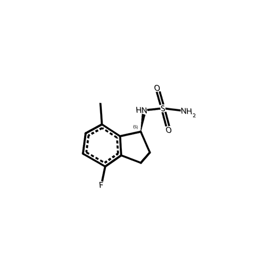 Cc1ccc(F)c2c1[C@@H](NS(N)(=O)=O)CC2